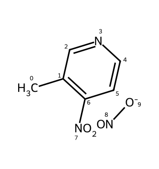 Cc1cnccc1[N+](=O)[O-].O=[NH+][O-]